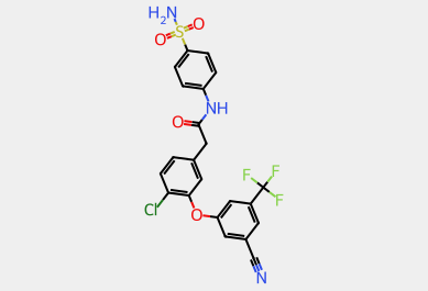 N#Cc1cc(Oc2cc(CC(=O)Nc3ccc(S(N)(=O)=O)cc3)ccc2Cl)cc(C(F)(F)F)c1